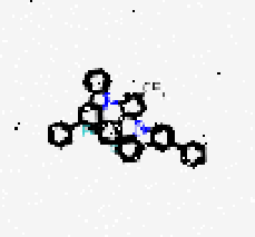 Fc1cc(F)cc(-c2c(-n3c4ccccc4c4cc(-c5ccccc5)ccc43)cc(C(F)(F)F)cc2-n2c3ccccc3c3cc(-c4ccccc4)ccc32)c1